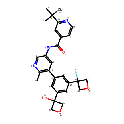 Cc1ncc(NC(=O)c2ccnc(C(C)(C)C#N)c2)cc1-c1cc(C2(O)COC2)cc(C2(F)COC2)c1